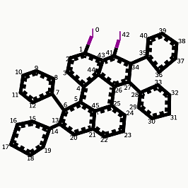 Ic1ccc2c3c(-c4ccccc4)c(-c4ccccc4)cc4cccc(c5c(-c6ccccc6)c(-c6ccccc6)c(I)c1c25)c43